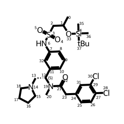 CC(CS(=O)(=O)Nc1cccc([C@@H](CN2CCCC2)N(C)C(=O)Cc2ccc(Cl)c(Cl)c2)c1)O[Si](C)(C)C(C)(C)C